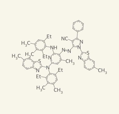 CCc1cc(C)c(C)c(CC)c1Nc1nc(N(c2nc3ccc(C)cc3s2)c2c(CC)cc(C)c(C)c2CC)cc(C)c1N=Nc1c(C#N)c(-c2ccccc2)nn1-c1nc2ccc(C)cc2s1